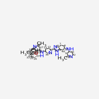 Cc1cc(Nc2ccc3nc(-c4ccc(Nc5cc(C)nc6ccc([C@@]78CCO[C@H](C)C7(C)C8)cc56)cn4)[nH]c3c2)ccn1